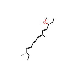 CC[C@H](C)/C=C/C=C/C=C(C)/C=C/[C@H](CC)OC